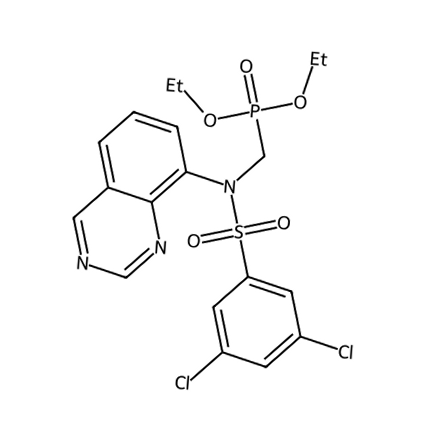 CCOP(=O)(CN(c1cccc2cncnc12)S(=O)(=O)c1cc(Cl)cc(Cl)c1)OCC